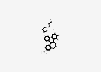 COc1ccc(C2=C(c3ccc(O[C@H]4CCN(CCCF)C4)cc3)c3ccc(OF)cc3CCC2)c(F)c1F